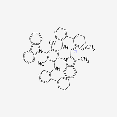 C=C/C=C\c1c(C)c2ccccc2n1-c1c(Nc2ccccc2C2=CCCC=C2)c(C#N)c(-n2c3ccccc3c3ccccc32)c(C#N)c1Nc1ccccc1C1=CCCC=C1